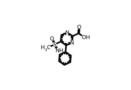 CS(=N)(=O)c1cnc(C(=O)O)nc1-c1ccccc1